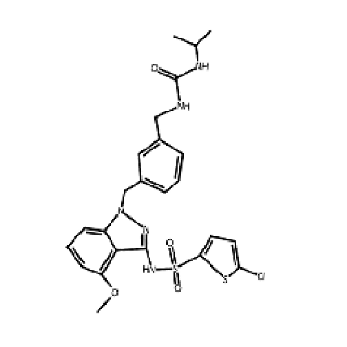 COc1cccc2c1c(NS(=O)(=O)c1ccc(Cl)s1)nn2Cc1cccc(CNC(=O)NC(C)C)c1